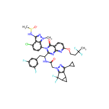 Cn1nc(N[S+](C)[O-])c2c(Cl)ccc(-n3c(C(Cc4cc(F)cc(F)c4)NC(=O)Cn4nc(C5CC5)c5c4C(F)(F)C4CC54)nc4nc(OCCC(C)(F)F)ccc4c3=O)c21